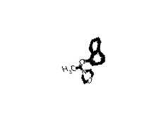 CC(Oc1cccc2ccccc12)N1CCOCC1